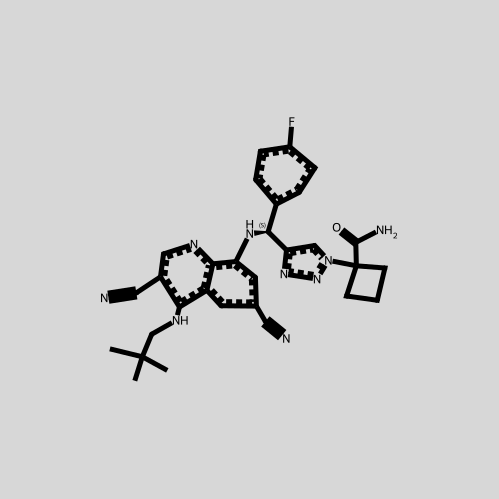 CC(C)(C)CNc1c(C#N)cnc2c(N[C@@H](c3ccc(F)cc3)c3cn(C4(C(N)=O)CCC4)nn3)cc(C#N)cc12